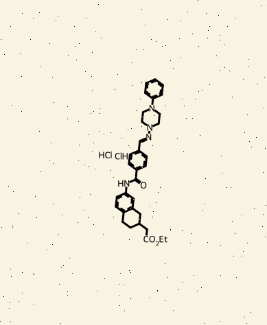 CCOC(=O)CC1CCc2ccc(NC(=O)c3ccc(C=NN4CCN(c5ccccc5)CC4)cc3)cc2C1.Cl.Cl